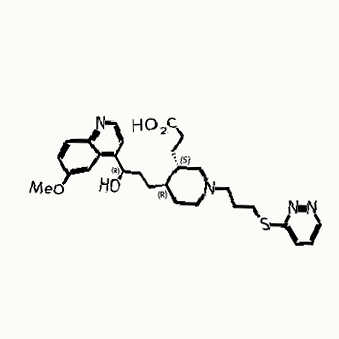 COc1ccc2nccc([C@H](O)CC[C@@H]3CCN(CCCSc4cccnn4)C[C@H]3CCC(=O)O)c2c1